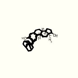 C[C@]12CC[C@@H]3c4cc(C56CC7CC(CC(C7)C5)C6)c(O)cc4CC[C@H]3[C@@H]1CC[C@H]2O